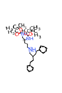 CC(C)(C)OC(=O)NC[C@H](CCCNCC(CCc1ccccc1)CCc1ccccc1)NC(=O)OC(C)(C)C